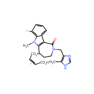 Cc1[nH]cnc1CN1CCCc2c(c3cccc(F)c3n2C)C1=O.O=C(O)/C=C\C(=O)O